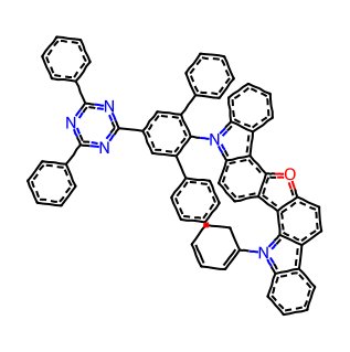 C1=CCCC(n2c3ccccc3c3ccc4oc5c(ccc6c5c5ccccc5n6-c5c(-c6ccccc6)cc(-c6nc(-c7ccccc7)nc(-c7ccccc7)n6)cc5-c5ccccc5)c4c32)=C1